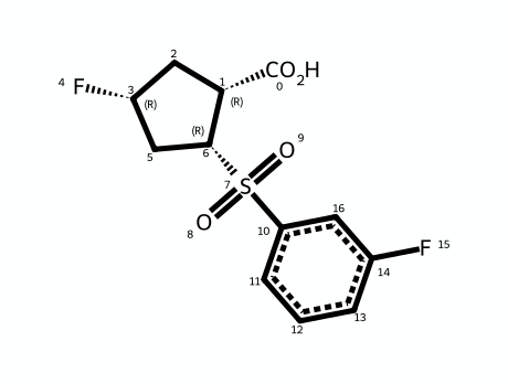 O=C(O)[C@H]1C[C@@H](F)C[C@H]1S(=O)(=O)c1cccc(F)c1